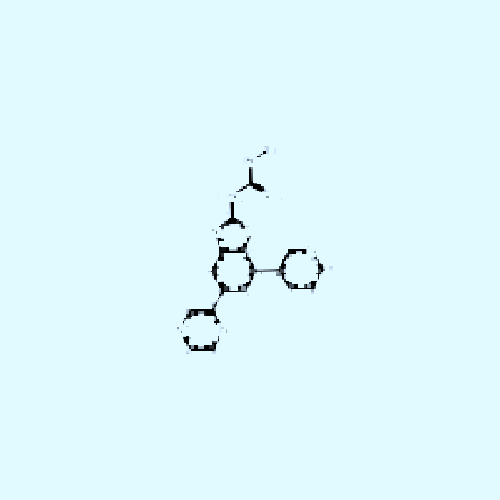 CCNC(=O)Nc1nc2cc(-c3cnccn3)cc(-c3cccnc3)c2s1